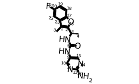 Cc1c([C@@H](C)NC(=O)Nc2cnc(N)nc2)oc2ccc(F)cc12